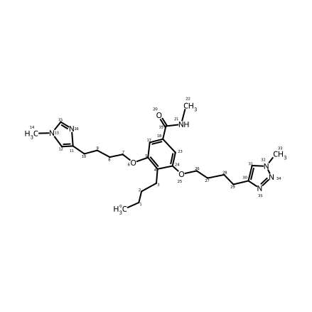 CCCCc1c(OCCCCc2cn(C)cn2)cc(C(=O)NC)cc1OCCCCc1cn(C)nn1